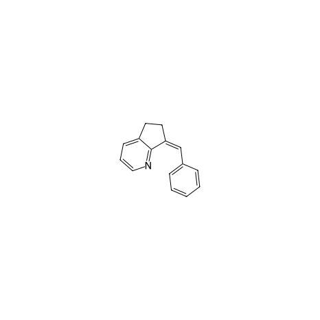 C(=C1\CCc2cccnc21)/c1ccccc1